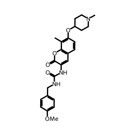 COc1ccc(CNC(=O)Nc2cc3ccc(OC4CCN(C)CC4)c(C)c3oc2=O)cc1